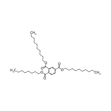 CCCCCCCCCCOC(=O)c1ccc(C(=O)OCCCCCCCC)c(C(=O)OCCCCCCCCCC)c1